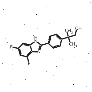 CC(C)(CO)c1ccc(-c2nc3c(F)cc(F)cc3[nH]2)cc1